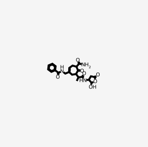 CC(C(=O)NC1CC(=O)OC1O)C1CC(CNC(=O)c2ccccc2)=CCC(C(N)=O)C1=O